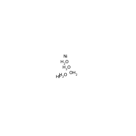 F.O.O.O.O.[Ni]